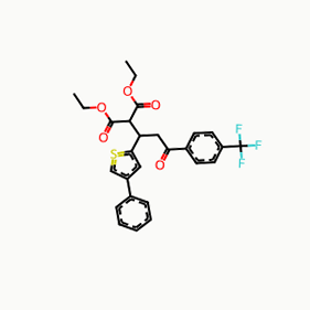 CCOC(=O)C(C(=O)OCC)C(CC(=O)c1ccc(C(F)(F)F)cc1)c1cc(-c2ccccc2)cs1